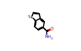 NC(=O)c1ccc2[te]ccc2c1